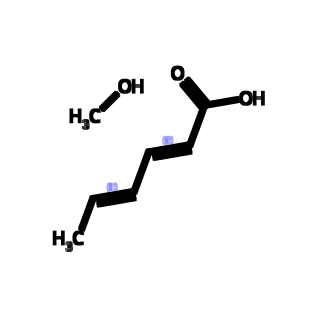 C/C=C/C=C/C(=O)O.CO